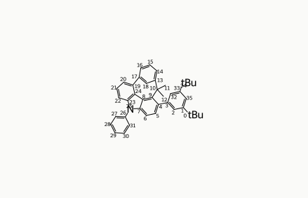 CC(C)(C)c1cc(-c2ccc3c4c2C(C)(C)c2cccc(c2)-c2cccc(c24)n3-c2ccccc2)cc(C(C)(C)C)c1